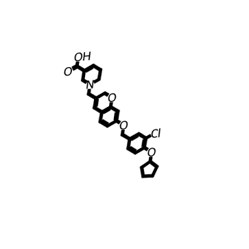 O=C(O)C1=CCCN(CC2=Cc3ccc(OCc4ccc(OC5CCCC5)c(Cl)c4)cc3OC2)C1